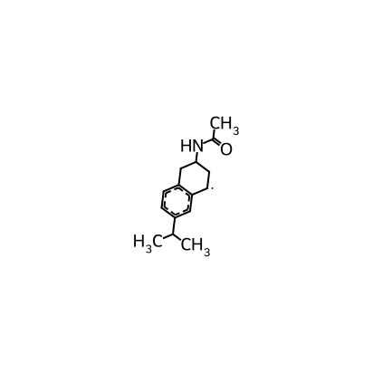 CC(=O)NC1C[CH]c2cc(C(C)C)ccc2C1